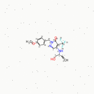 C#C[C@@H](CO)Nc1cnn(Cc2ccc(OC)cc2)c(=O)c1C(F)(F)F